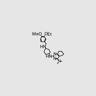 CCOc1cc(CNC2CCC(Nc3nc4c(c(N(C)C)n3)CCCC4)CC2)ccc1OC